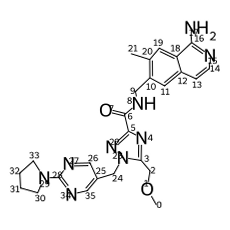 COCc1nc(C(=O)NCc2cc3ccnc(N)c3cc2C)nn1Cc1cnc(N2CCCC2)nc1